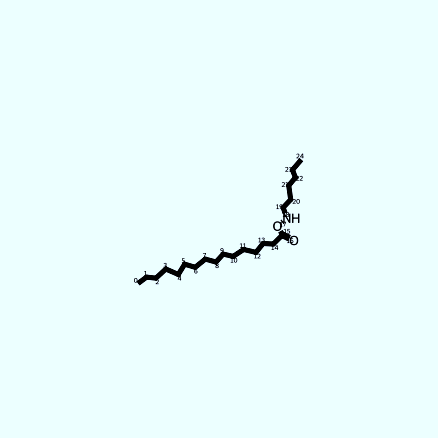 CCCCCCCCCCCCCCCC(=O)ONCCCCCC